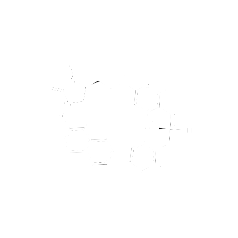 CN1C(=O)N(Cc2ccc3ccccc3c2)C[C@@H]1CCOc1ccc(C[C@](C)(Oc2ccccc2)C(=O)O)cc1